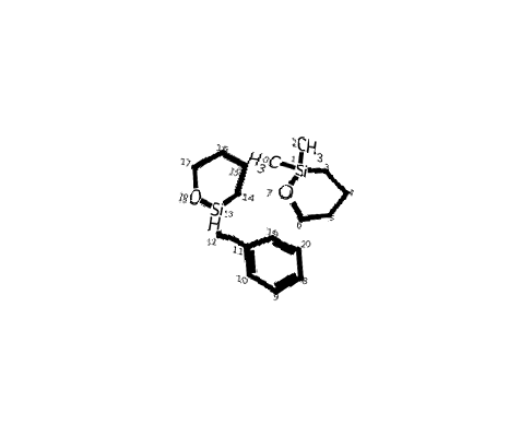 C[Si]1(C)CCCCO1.c1ccc(C[SiH]2CCCCO2)cc1